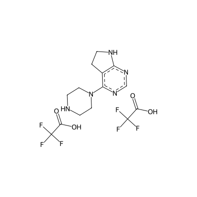 O=C(O)C(F)(F)F.O=C(O)C(F)(F)F.c1nc2c(c(N3CCNCC3)n1)CCN2